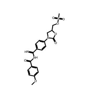 COc1ccc(C(=O)NC(=N)c2ccc(N3CC(COS(C)(=O)=O)OC3=O)cc2)cc1